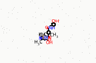 Cc1nc(C)c(/C=C(\NC(=O)c2c(C)cc(C(=O)NCc3cccc(O)c3)cc2C)C(=O)O)s1